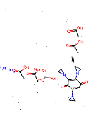 C=C.CC(=O)O.CC(=O)O.CC(=O)O.CC(=O)O.N.N.O=C1C=C(N2CC2)C(=O)C(N2CC2)=C1N1CC1.OB(O)O